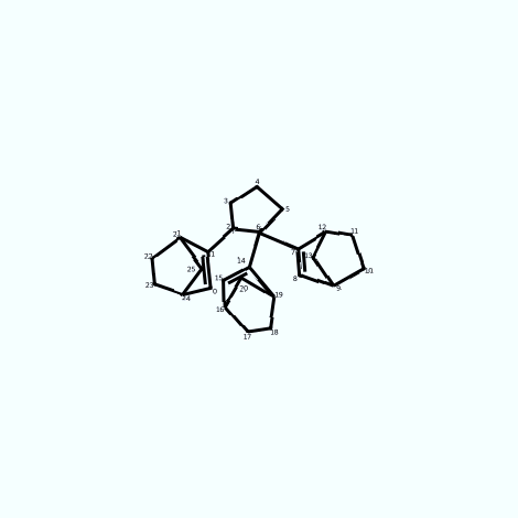 C1=C([C]2CCCC2(C2=CC3CCC2C3)C2=CC3CCC2C3)C2CCC1C2